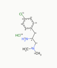 CN(C)CC(N)Cc1ccc(Cl)cc1.Cl